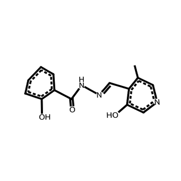 Cc1cncc(O)c1C=NNC(=O)c1ccccc1O